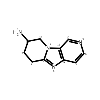 NC1CCc2nc3ccncc3n2C1